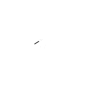 [AlH3].[Cr][Mo].[SnH2].[V]